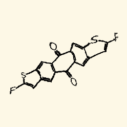 O=C1c2cc3cc(F)sc3cc2C(=O)c2cc3sc(F)cc3cc21